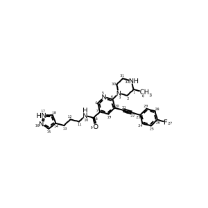 CC1CN(c2ncc(C(=O)NCCCc3cn[nH]c3)cc2C#Cc2ccc(F)cc2)CCN1